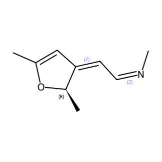 C/N=C\C=C1\C=C(C)O[C@@H]1C